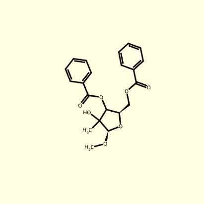 CO[C@@H]1O[C@H](COC(=O)c2ccccc2)C(OC(=O)c2ccccc2)C1(C)O